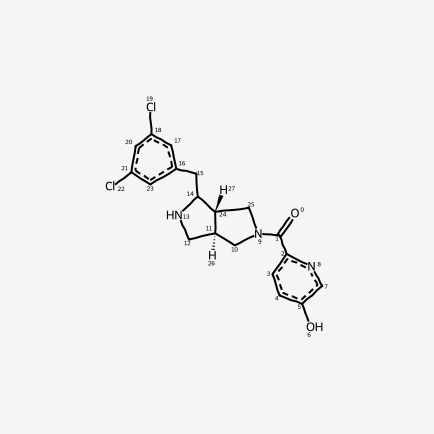 O=C(c1ccc(O)cn1)N1C[C@H]2CNC(Cc3cc(Cl)cc(Cl)c3)[C@@H]2C1